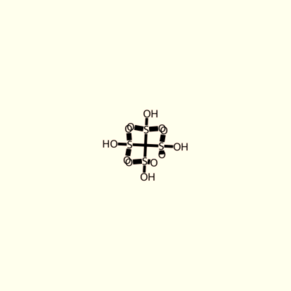 O=S(=O)(O)C(S(=O)(=O)O)(S(=O)(=O)O)S(=O)(=O)O